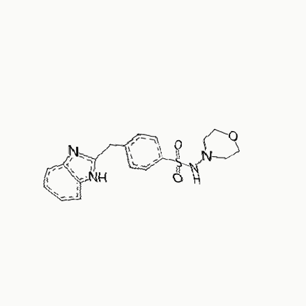 O=S(=O)(NN1CCOCC1)c1ccc(Cc2nc3ccccc3[nH]2)cc1